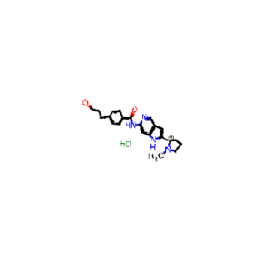 CN1CCC[C@@H]1c1cc2cnc(NC(=O)c3ccc(CCC=O)cc3)cc2[nH]1.Cl